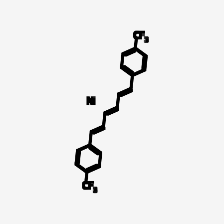 FC(F)(F)c1ccc(C=CC=CC=Cc2ccc(C(F)(F)F)cc2)cc1.[Ni]